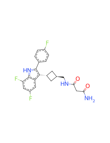 NC(=O)CC(=O)NC[C@H]1C[C@H](c2c(-c3ccc(F)cc3)[nH]c3c(F)cc(F)cc32)C1